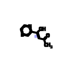 CC(=O)/C=C(\O)c1cbccn1